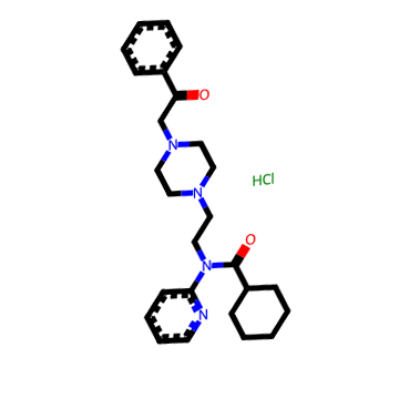 Cl.O=C(CN1CCN(CCN(C(=O)C2CCCCC2)c2ccccn2)CC1)c1ccccc1